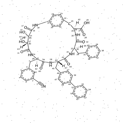 N#Cc1cccc(C[C@H]2NC(=O)[C@H](O)[C@@H](O)C(=O)Nc3ccc(cc3)C[C@@H](C(=O)O)NC(=O)[C@@H](Cc3ccccc3)NC(=O)[C@H](Cc3ccc(-c4ccccc4)cc3)NC2=O)c1